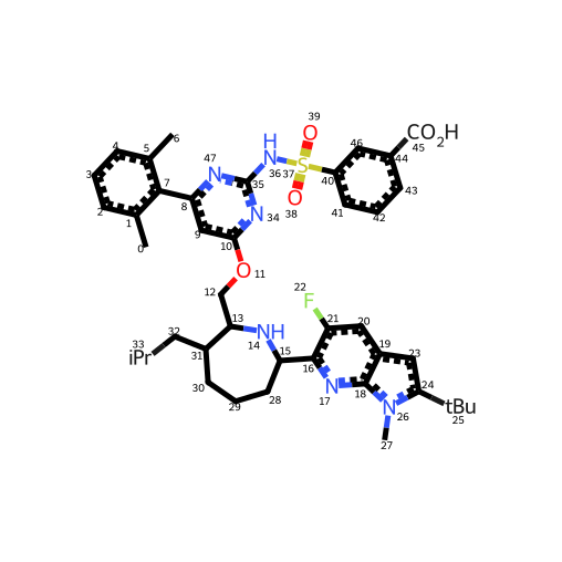 Cc1cccc(C)c1-c1cc(OCC2NC(c3nc4c(cc3F)cc(C(C)(C)C)n4C)CCCC2CC(C)C)nc(NS(=O)(=O)c2cccc(C(=O)O)c2)n1